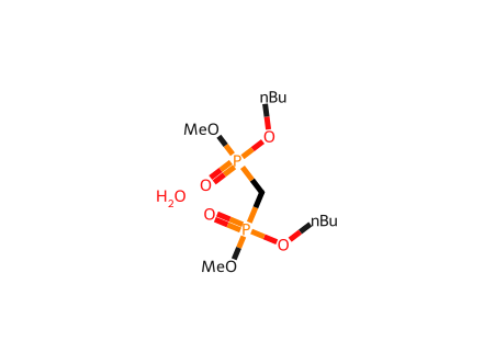 CCCCOP(=O)(CP(=O)(OC)OCCCC)OC.O